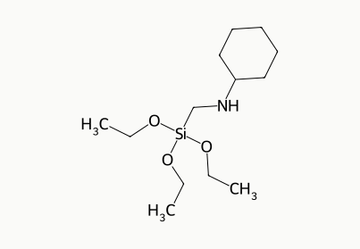 CCO[Si](CNC1CCCCC1)(OCC)OCC